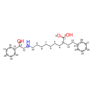 O=C(O)C(CCCCCCCNCC(O)c1ccccc1)CCc1ccccc1